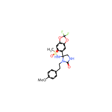 COc1ccc(CCN2C(=O)NCC2(NS(C)(=O)=O)c2ccc3c(c2)OC(F)(F)O3)cc1